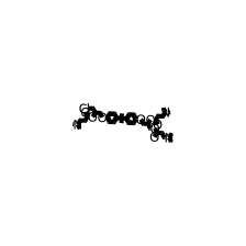 CN(C)CCC(=O)OCC(COc1ccc(C(C)(C)c2ccc(OCC(CCl)OC(=O)CCN(C)C)cc2)cc1)OC(=O)CCN(C)C